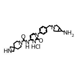 Cl.NC1C2CN(Cc3ccc(-n4ccc(NC(=O)N5CCC6(CC5)CNC6)nc4=O)cc3)CC12